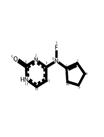 O=c1nc(N(F)C2=CCCC2)cc[nH]1